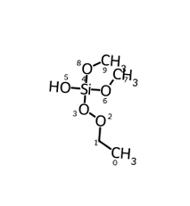 CCOO[Si](O)(OC)OC